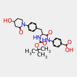 CC(C)(C)OC(=O)NC(Cc1ccc(N2CCC(O)CC2=O)cc1)C(=O)Nc1ccc(C(=O)O)cc1